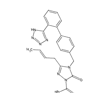 CC=CCc1nn(C(=O)CCC)c(=O)n1Cc1ccc(-c2ccccc2-c2nnn[nH]2)cc1